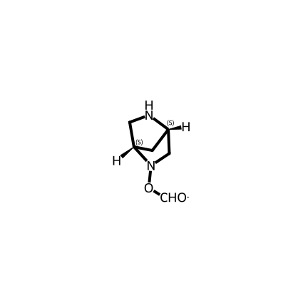 O=[C]ON1C[C@@H]2C[C@H]1CN2